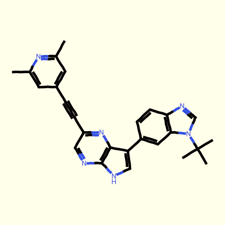 Cc1cc(C#Cc2cnc3[nH]cc(-c4ccc5ncn(C(C)(C)C)c5c4)c3n2)cc(C)n1